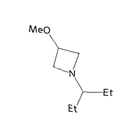 CCC(CC)N1CC(OC)C1